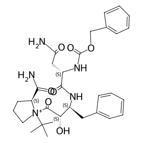 CC(C)(C)[N+]1(C(=O)[C@@H](O)[C@H](Cc2ccccc2)NC(=O)[C@H](CC(N)=O)NC(=O)OCc2ccccc2)CCC[C@H]1C(N)=O